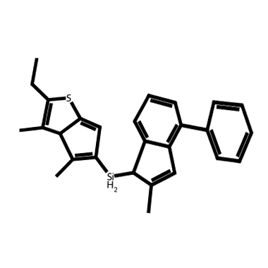 CCC1=C(C)C2C(=CC([SiH2]C3C(C)=Cc4c(-c5ccccc5)cccc43)=C2C)S1